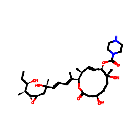 CC[C@H](O)[C@@H](C)[C@H]1O[C@@H]1C[C@@](C)(O)/C=C/C=C(\C)[C@H]1OC(=O)C[C@H](O)CC[C@@](C)(O)[C@@H](OC(=O)N2CCNCC2)/C=C/[C@@H]1C